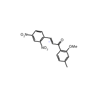 COc1cc(C)ccc1C(=O)/C=C/c1ccc([N+](=O)[O-])cc1[N+](=O)[O-]